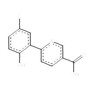 O=C(O)c1ccc(-c2cc(F)ccc2O)nc1